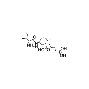 CC[C@H](C)[C@H](N)C(=O)N[C@H]1CCN[C@@](CCCCB(O)O)(C(=O)O)C1